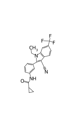 CCn1c(-c2cccc(NC(=O)C3CC3)c2)c(C#N)c2ccc(C(F)(F)F)cc21